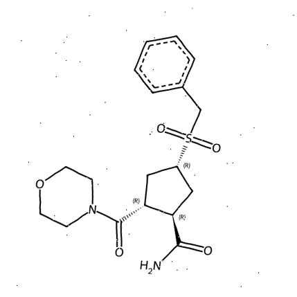 NC(=O)[C@@H]1C[C@@H](S(=O)(=O)Cc2ccccc2)C[C@H]1C(=O)N1CCOCC1